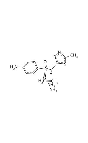 C=C.Cc1nnc(NS(=O)(=O)c2ccc(N)cc2)s1.N.N